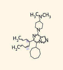 C=C/C=C\C(=C/C=C)c1nc(N2CCC(N(C)C)CC2)c2cncn2c1C1CCCCCCC1